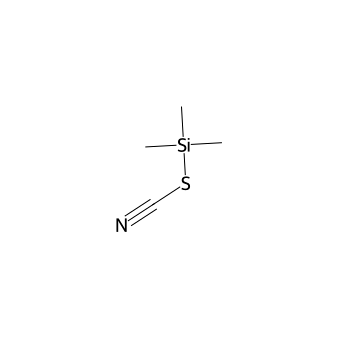 C[Si](C)(C)SC#N